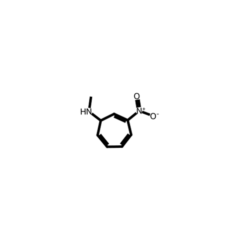 CNC1C=CC=CC([N+](=O)[O-])=C1